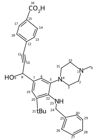 CN1CCN(c2cc(C(O)C#Cc3ccc(C(=O)O)cc3)cc(C(C)(C)C)c2NCc2ccccc2)CC1